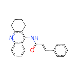 O=C(C=Cc1ccccc1)Nc1c2c(nc3ccccc13)CCCC2